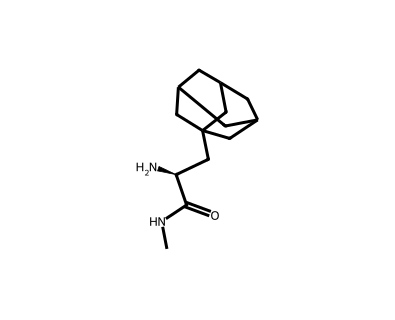 CNC(=O)[C@@H](N)CC12CC3CC(CC(C3)C1)C2